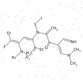 C=C(CC)/C(=C\C(=C(\F)CC)N(C)C(C)=O)N(SI)C(=C)C(=O)/C(C=N)=C/N(C)C